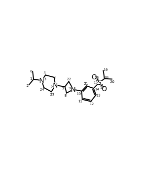 CC(C)N1CCN(C2CN(c3cccc(S(=O)(=O)C(C)C)c3)C2)CC1